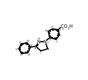 O=C(O)c1ccc(N2CCC(c3ccccc3)=N2)cc1